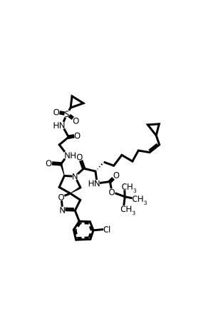 CC(C)(C)OC(=O)N[C@@H](CCCCC/C=C\C1CC1)C(=O)N1C[C@]2(CC(c3cccc(Cl)c3)=NO2)C[C@H]1C(=O)NCC(=O)NS(=O)(=O)C1CC1